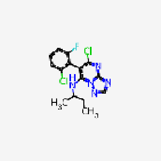 CCC(C)Nc1c(-c2c(F)cccc2Cl)c(Cl)nc2ncnn12